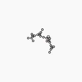 c1ccc(-c2ccc(-n3c4ccccc4c4cc(-c5ccc6c(c5)c5ccccc5n6-c5cccc6oc7cc(-c8ccc(-c9ccc%10c%11cc(-c%12ccc%13c(c%12)c%12ccccc%12n%13-c%12cc(-c%13ccccc%13)cc(-c%13ccccc%13)c%12)ccc%11n(-c%11ccc(-c%12ccccc%12)cc%11)c%10c9)cc8)ccc7c56)ccc43)cc2)cc1